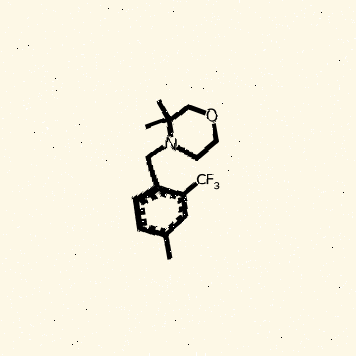 Cc1ccc(CN2CCOCC2(C)C)c(C(F)(F)F)c1